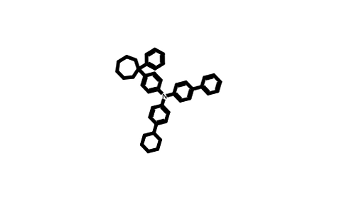 c1ccc(-c2ccc(N(c3ccc(C4CCCCC4)cc3)c3ccc(C4(c5ccccc5)CCCCCC4)cc3)cc2)cc1